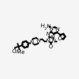 COCC(C)(C)c1ccc(N2CCN(CCN3C(=O)N(C)N4C5=C(c6ccco6)N=CN(N)C5=NC34)CC2)cc1